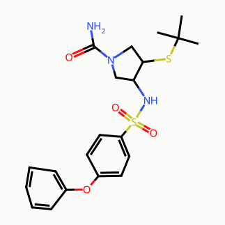 CC(C)(C)SC1CN(C(N)=O)CC1NS(=O)(=O)c1ccc(Oc2ccccc2)cc1